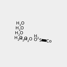 O.O.O.O.O.O.O.[S]=[Co]